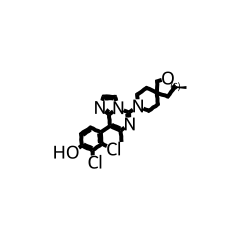 Cc1nc(N2CCC3(CC2)CO[C@@H](C)C3)n2ccnc2c1-c1ccc(O)c(Cl)c1Cl